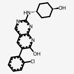 Oc1nc2nc(N[C@H]3CC[C@H](O)CC3)ncc2cc1-c1ccccc1Cl